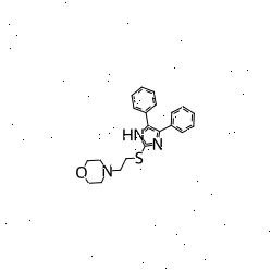 c1ccc(-c2nc(SCCN3CCOCC3)[nH]c2-c2ccccc2)cc1